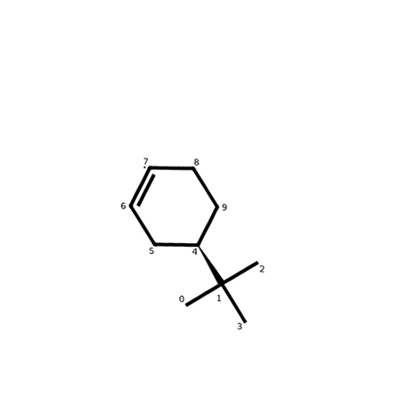 CC(C)(C)[C@H]1CC=[C]CC1